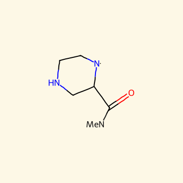 CNC(=O)C1CNCC[N]1